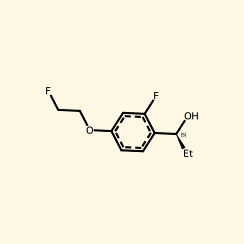 CC[C@H](O)c1ccc(OCCF)cc1F